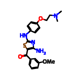 COc1cccc(C(=O)c2sc(Nc3ccc(OCCN(C)C)cc3)nc2N)c1